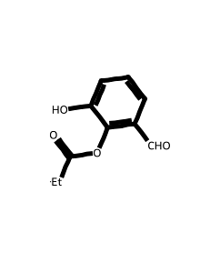 C[CH]C(=O)Oc1c(O)cccc1C=O